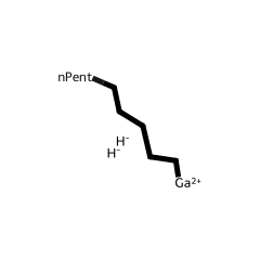 CCCCCCCCC[CH2][Ga+2].[H-].[H-]